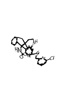 O=C(O)NC1(c2cnc(SCc3cccc(Cl)n3)cn2)c2ccccc2CC12CCNCC2